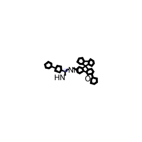 N=C/C(=C\NCc1ccc2c(c1)C1(c3ccccc3-c3ccccc31)c1ccc3c(oc4ccccc43)c1-2)c1ccc(-c2ccccc2)cc1